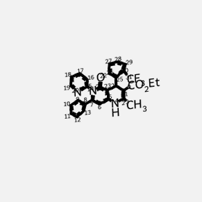 CCOC(=O)C1=C(C)Nc2cc(-c3ccccc3)n(-c3ccccn3)c(=O)c2C1c1ccccc1C(F)(F)F